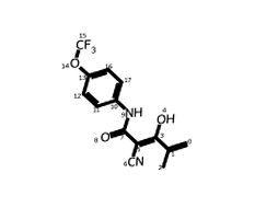 C=C(C)C(O)=C(C#N)C(=O)Nc1ccc(OC(F)(F)F)cc1